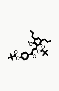 CCCc1cc(CCC)c(OC(=O)C(C)(C)C)c(C=CC(=O)c2ccc(OC(=O)C(C)(C)C)cc2)c1OC